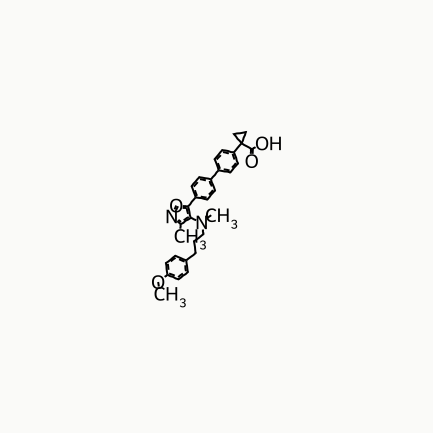 COc1ccc(CCCN(C)c2c(C)noc2-c2ccc(-c3ccc(C4(C(=O)O)CC4)cc3)cc2)cc1